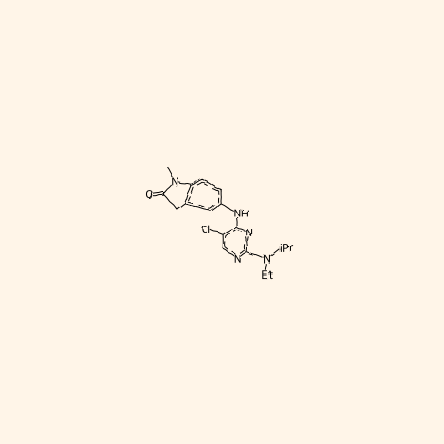 CCN(c1ncc(Cl)c(Nc2ccc3c(c2)CC(=O)N3C)n1)C(C)C